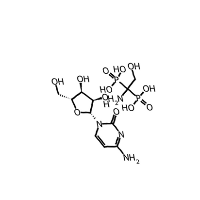 NC(CO)(P(=O)(O)O)P(=O)(O)O.Nc1ccn([C@@H]2O[C@H](CO)[C@@H](O)[C@H]2O)c(=O)n1